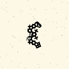 CC(C)(C)c1cc(C(C)(C)C)c2c3c4c(ncc3n3c5ccc6c(c5c1c23)-c1cc2c(cc1C6(C)C)C1CC3CC(CC2C3)C1)C(C)(C)c1cc2c(cc1-4)C1CC3CC4CC2C341